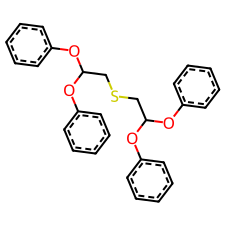 c1ccc(OC(CSCC(Oc2ccccc2)Oc2ccccc2)Oc2ccccc2)cc1